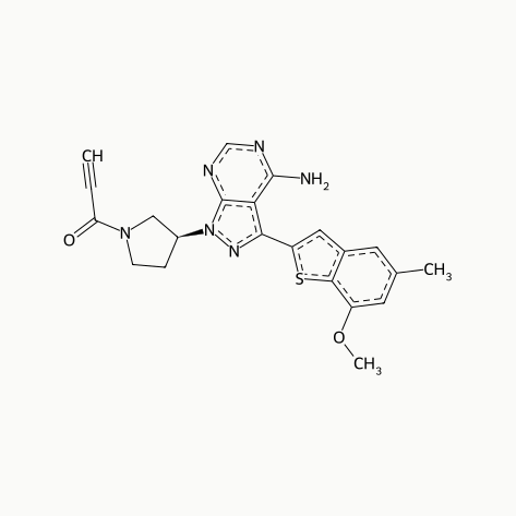 C#CC(=O)N1CC[C@H](n2nc(-c3cc4cc(C)cc(OC)c4s3)c3c(N)ncnc32)C1